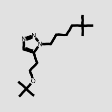 CC(C)(C)CCCCn1nncc1CCOC(C)(C)C